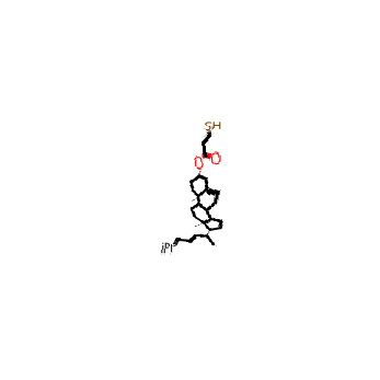 CC(C)CCCC(C)[C@H]1CCC2C3CC=C4C[C@@H](OC(=O)CCS)CC[C@]4(C)C3CC[C@@]21C